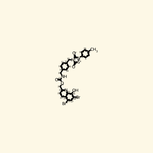 Cc1ccc(-n2sc(=O)n(Cc3ccc(CNC(=O)OCc4ccc5c(Br)cc(Br)c(O)c5n4)cc3)c2=O)cc1